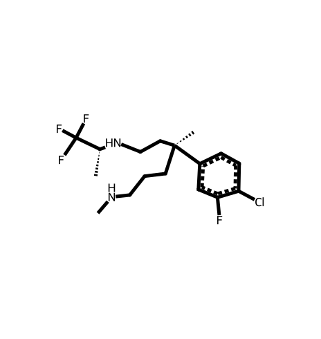 CNCCC[C@@](C)(CCN[C@H](C)C(F)(F)F)c1ccc(Cl)c(F)c1